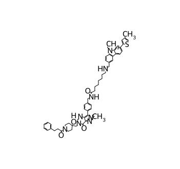 CCn1c2ccc(CNCCCCCCCC(=O)NCc3ccc(-c4c5ncn(CC6(O)CCN(C(=O)CCc7ccccc7)CC6)c(=O)c5nn4C)cc3)cc2c2ccc(-c3cc(C)cs3)cc21